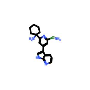 N.NC1(c2cc(-c3c[nH]c4ncccc34)cc(Cl)n2)CCCCC1